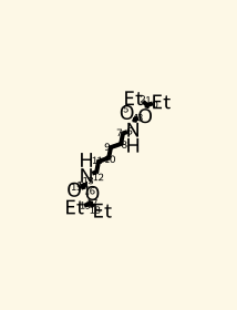 CCC(CC)OC(=O)NCCCCCCNC(=O)OC(CC)CC